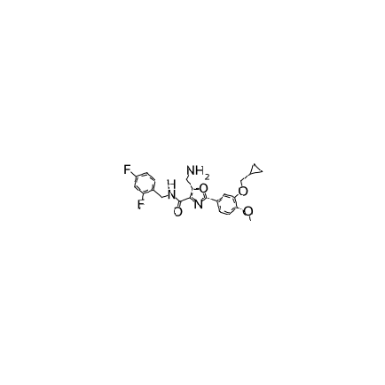 COc1ccc(-c2nc(C(=O)NCc3ccc(F)cc3F)c(CN)o2)cc1OCC1CC1